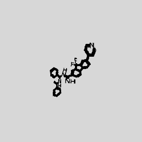 CC(NC(NC(=N)c1ccc2c(c1)C(F)(F)c1cc(-c3ccncc3)ccc1-2)c1ccccc1)c1ccccc1